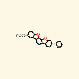 CCCCCCCCc1ccc2oc3c(ccc4c5ccc(-c6ccccc6)cc5oc43)c2c1